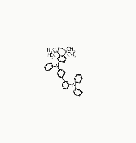 CC1(C)CCC(C)(C)c2cc(N(c3ccccc3)c3ccc(-c4cccc(N(c5ccccc5)c5ccccc5)c4)cc3)ccc21